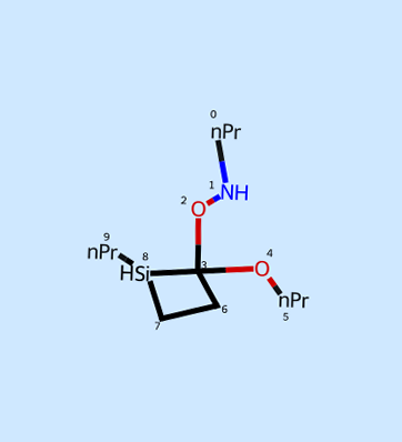 CCCNOC1(OCCC)CC[SiH]1CCC